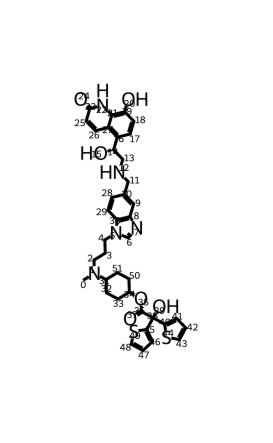 CN(CCCn1cnc2cc(CNC[C@@H](O)c3ccc(O)c4[nH]c(=O)ccc34)ccc21)C1CCC(OC(=O)C(O)(c2cccs2)c2cccs2)CC1